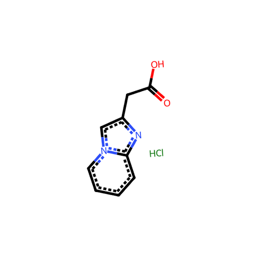 Cl.O=C(O)Cc1cn2ccccc2n1